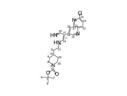 CC(C)(C)OC(=O)N1CCC(CCN/C=C(\C=N)c2cnc3ccc(Cl)nc3c2)CC1